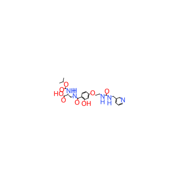 CC(C)OC(=O)N[C@@H](CNC(=O)c1ccc(OCCNC(=O)NCc2cccnc2)cc1O)C(=O)O